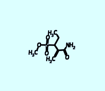 C=C(C(N)=O)C(CC)S(=O)(=O)OC